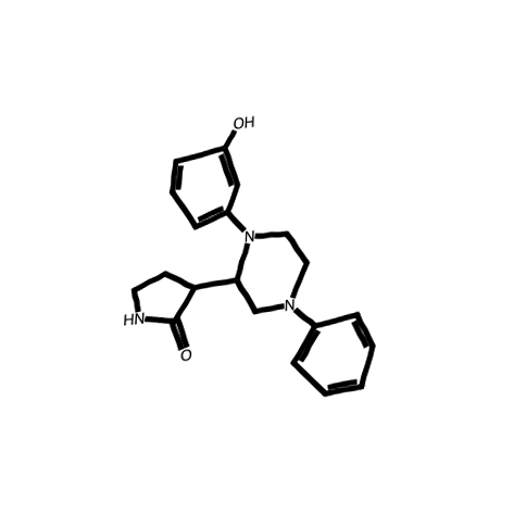 O=C1NCCC1C1CN(c2ccccc2)CCN1c1cccc(O)c1